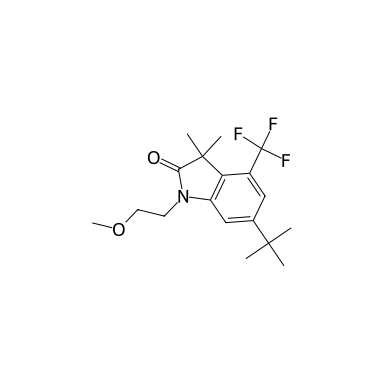 COCCN1C(=O)C(C)(C)c2c1cc(C(C)(C)C)cc2C(F)(F)F